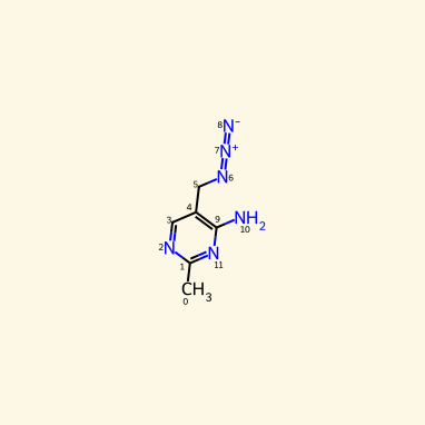 Cc1ncc(CN=[N+]=[N-])c(N)n1